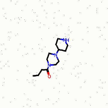 CCCC(=O)N1CCN(C2CCNCC2)CC1